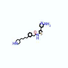 Nc1cc(-c2csc(NC(=O)Cc3cccc(CCCCC4CCNCC4)c3)c2)ccn1